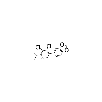 CC(C)C1=C(Cl)C(Cl)=C(c2ccc3c(c2)OCO3)C[CH]1